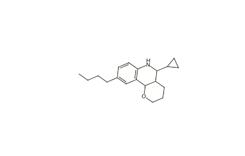 CCCCc1ccc2c(c1)C1OCCCC1C(C1CC1)N2